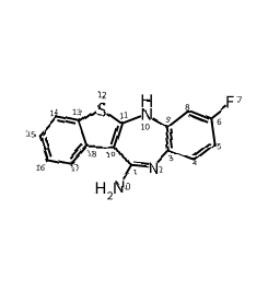 NC1=Nc2ccc(F)cc2Nc2sc3ccccc3c21